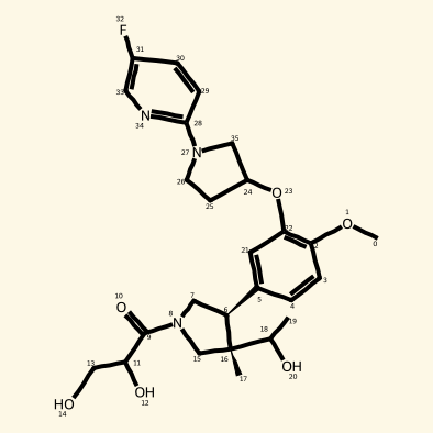 COc1ccc([C@@H]2CN(C(=O)C(O)CO)C[C@@]2(C)C(C)O)cc1OC1CCN(c2ccc(F)cn2)C1